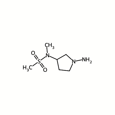 CN(C1CCN(N)C1)S(C)(=O)=O